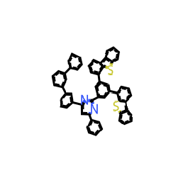 c1ccc(-c2cccc(-c3cccc(-c4cc(-c5ccccc5)nc(-c5cc(-c6cccc7c6sc6ccccc67)cc(-c6cccc7c6sc6ccccc67)c5)n4)c3)c2)cc1